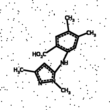 Cc1cc(Nc2cc(C)c(C)cc2C(=O)O)n(C)n1